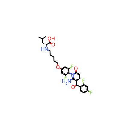 CC(C)C[C@@H](NCCCCCOc1cc(F)c(-n2c(N)c(C(=O)c3ccc(F)cc3F)ccc2=O)c(F)c1)C(=O)O